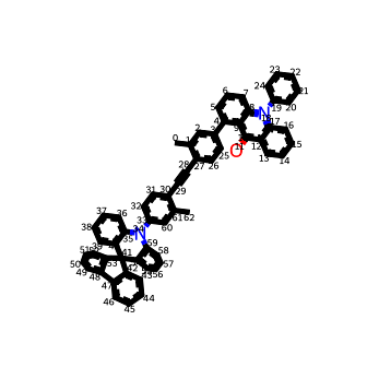 Cc1cc(-c2cccc3c2c(=O)c2ccccc2n3-c2ccccc2)ccc1C#Cc1ccc(N2c3ccccc3C3(c4ccccc4-c4ccccc43)c3ccccc32)cc1C